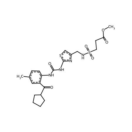 COC(=O)CCS(=O)(=O)NCc1csc(NC(=O)Nc2ccc(C)cc2C(=O)C2CCCC2)n1